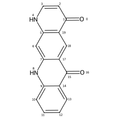 O=c1cc[nH]c2cc3[nH]c4ccccc4c(=O)c3cc12